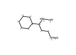 CCCCCCCCCC(NCCC)C1CCCCC1